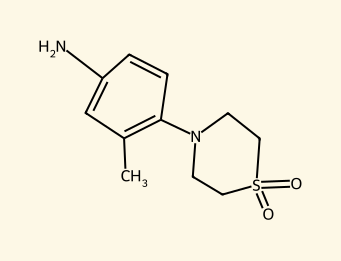 Cc1cc(N)ccc1N1CCS(=O)(=O)CC1